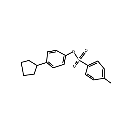 Cc1ccc(S(=O)(=O)Oc2ccc(C3CCCC3)cc2)cc1